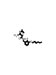 CCC/C=C/COc1cccc(CNC(=O)c2ccc(C)nc2N)c1F